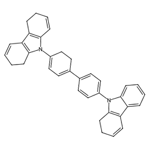 C1=Cc2c(c3c(n2C2=CC=C(c4ccc(-n5c6c(c7ccccc75)C=CCC6)cc4)CC2)CCC=C3)CC1